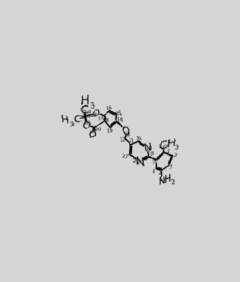 Cc1ccc(N)cc1-c1ncc(COc2ccc3c(c2)C(=O)OC(C)(C)O3)cn1